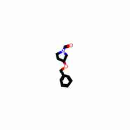 O=CN1CCC(OCc2ccccc2)C1